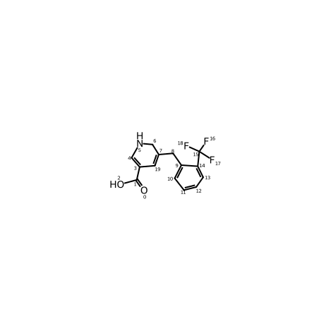 O=C(O)C1=CNCC(Cc2ccccc2C(F)(F)F)=C1